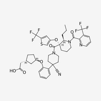 CCC[C@H]1N(C(=O)c2ncccc2C(F)(F)F)CCC[C@@]1(Oc1csc(C(F)(F)F)c1)C(=O)N1CCC(C#N)(c2ccccc2O[C@@H]2CC[C@@H](CC(=O)O)C2)CC1